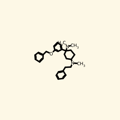 CN(CCc1ccccc1)C1CCC(c2cccc(OCc3ccccc3)c2)(N(C)C)CC1